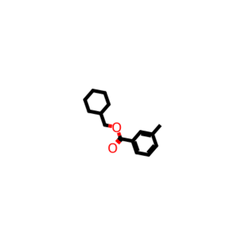 Cc1cccc(C(=O)OCC2CCCCC2)c1